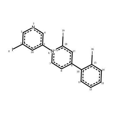 Ic1cncc(-[n+]2ccc(-c3ccccc3I)cc2I)c1